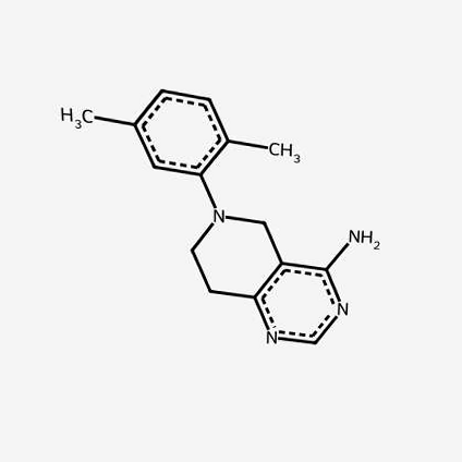 Cc1ccc(C)c(N2CCc3ncnc(N)c3C2)c1